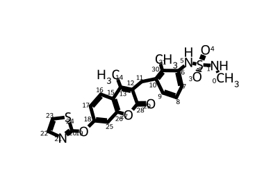 CNS(=O)(=O)Nc1cccc(Cc2c(C)c3ccc(Oc4nccs4)cc3oc2=O)c1C